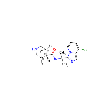 CC(C)(NC(=O)[C@H]1[C@@H]2CNC[C@H]1C2)c1ncc2c(Cl)cccn12